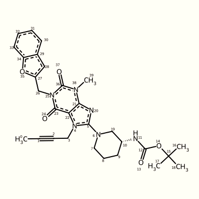 CC#CCn1c(N2CCC[C@@H](NC(=O)OC(C)(C)C)C2)nc2c1c(=O)n(Cc1cc3ccccc3o1)c(=O)n2C